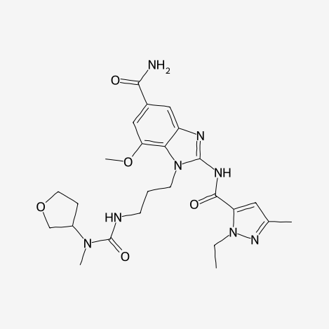 CCn1nc(C)cc1C(=O)Nc1nc2cc(C(N)=O)cc(OC)c2n1CCCNC(=O)N(C)C1CCOC1